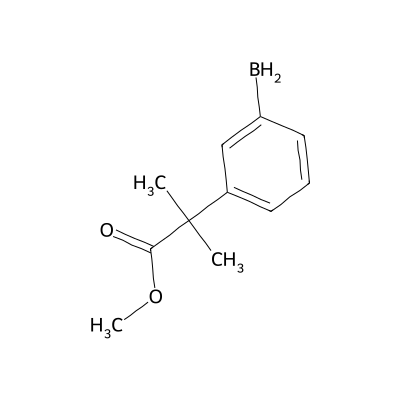 Bc1cccc(C(C)(C)C(=O)OC)c1